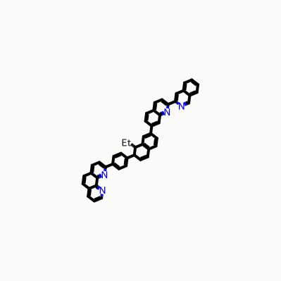 CCC1c2cc(-c3ccc4ccc(-c5cc6ccccc6cn5)nc4c3)ccc2C=CC1c1ccc(-c2ccc3ccc4cccnc4c3n2)cc1